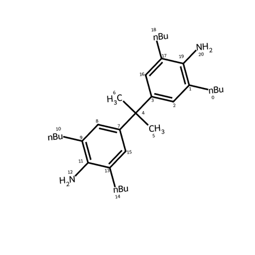 CCCCc1cc(C(C)(C)c2cc(CCCC)c(N)c(CCCC)c2)cc(CCCC)c1N